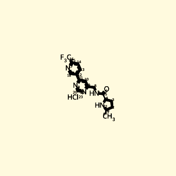 C[C@@H]1CC[C@H](C(=O)NCc2cc(-c3ccc(C(F)(F)F)nc3)ncn2)N1.Cl